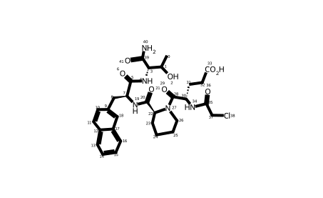 CC(O)[C@H](NC(=O)[C@H](Cc1ccc2ccccc2c1)NC(=O)[C@@H]1CCCCN1C(=O)[C@H](CCC(=O)O)NC(=O)CCl)C(N)=O